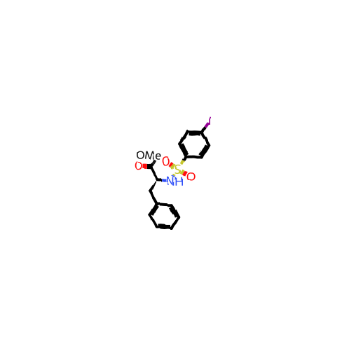 COC(=O)[C@H](Cc1ccccc1)NS(=O)(=O)c1ccc(I)cc1